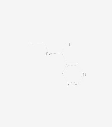 CC(NSC(C)(C)C)c1cncnc1